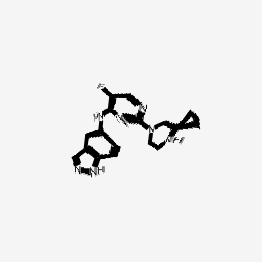 Fc1cnc(N2CCNC3(CC3)C2)nc1Nc1ccc2[nH]ncc2c1